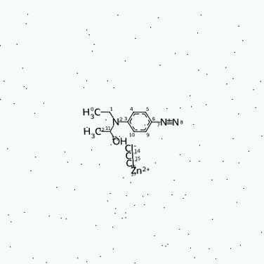 CCN(c1ccc([N+]#N)cc1)C(C)O.[Cl-].[Cl-].[Cl-].[Zn+2]